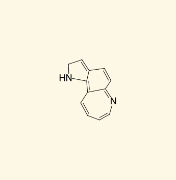 C1=CN=c2ccc3c(c2C=C1)NCC=3